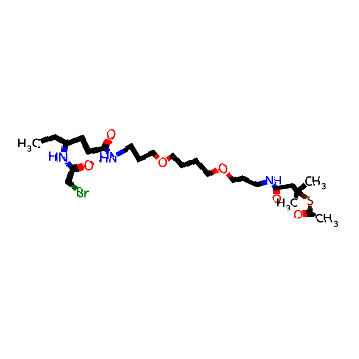 CCC(CCC(=O)NCCCOCCCCOCCCNC(=O)CC(C)(C)SC(C)=O)NC(=O)CBr